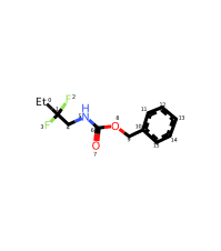 CCC(F)(F)CNC(=O)OCc1ccccc1